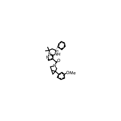 COc1cccc(C23CC2CN(C(=O)c2cnn4c2N[C@@H](c2ccccc2)CC4(C)C)C3)c1